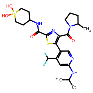 CCC(Nc1cc(C(F)F)c(-c2sc(C(=O)NC3CCS(O)(O)CC3)nc2C(=O)N2CCCC2C)cn1)C(F)(F)F